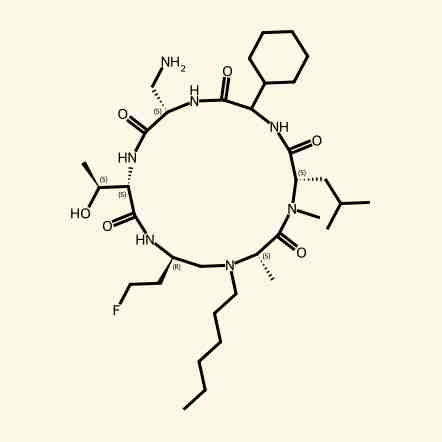 CCCCCCN1C[C@@H](CCF)NC(=O)[C@H]([C@H](C)O)NC(=O)[C@H](CN)NC(=O)C(C2CCCCC2)NC(=O)[C@H](CC(C)C)N(C)C(=O)[C@@H]1C